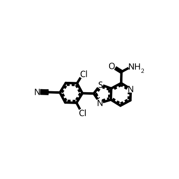 N#Cc1cc(Cl)c(-c2nc3ccnc(C(N)=O)c3s2)c(Cl)c1